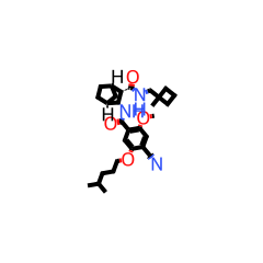 COc1cc(C#N)c(OCCCC(C)C)cc1C(=O)N[C@@H]1[C@H]2CC[C@H](C2)[C@@H]1C(=O)NCC1(C)CCC1